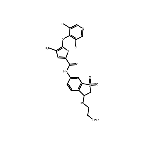 COCCNC1CS(=O)(=O)c2cc(NC(=O)c3cc([N+](=O)[O-])c(Sc4c(Cl)cncc4Cl)s3)ccc21